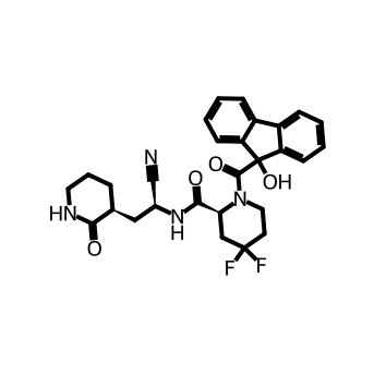 N#C[C@H](C[C@@H]1CCCNC1=O)NC(=O)[C@@H]1CC(F)(F)CCN1C(=O)C1(O)c2ccccc2-c2ccccc21